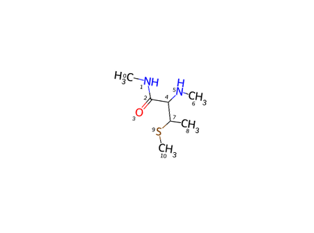 CNC(=O)C(NC)C(C)SC